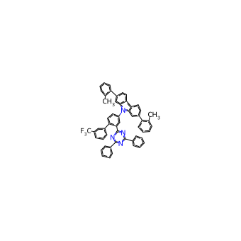 Cc1ccccc1-c1ccc2c3ccc(-c4ccccc4C)cc3n(-c3ccc(-c4cccc(C(F)(F)F)c4)c(-c4nc(-c5ccccc5)nc(-c5ccccc5)n4)c3)c2c1